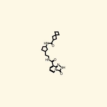 O=C(NCCC1CCC(NC(=O)C2CC3(CCC3)C2)C1)c1cccn2c(=O)[nH]nc12